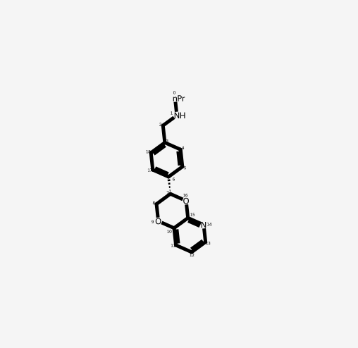 CCCNCc1ccc([C@H]2COc3cccnc3O2)cc1